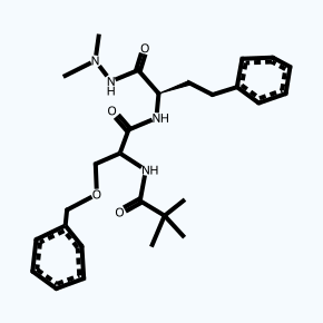 CN(C)NC(=O)[C@@H](CCc1ccccc1)NC(=O)C(COCc1ccccc1)NC(=O)C(C)(C)C